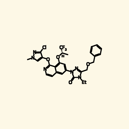 CCn1c(COCc2ccccc2)nn(-c2cc(O[C@@H](C)C(F)(F)F)c3c(Oc4cn(C)nc4Cl)nccc3c2)c1=O